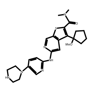 COC1(c2c(C(=O)N(C)C)sc3cnc(Nc4ccc(N5CCNCC5)cn4)cc23)CCCC1